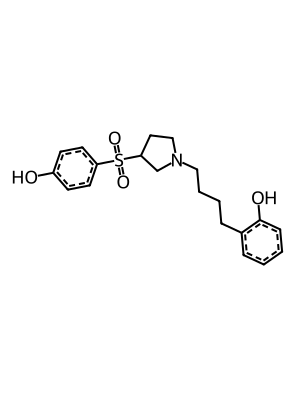 O=S(=O)(c1ccc(O)cc1)C1CCN(CCCCc2ccccc2O)C1